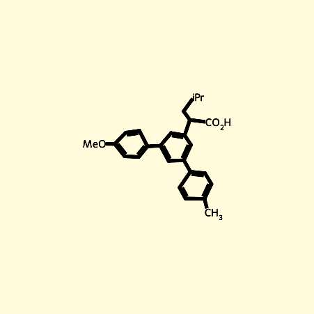 COc1ccc(-c2cc(-c3ccc(C)cc3)cc(C(CC(C)C)C(=O)O)c2)cc1